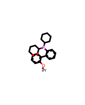 CC(C)Oc1ccccc1-c1ccccc1P(C1CCCCC1)C1CCCCC1